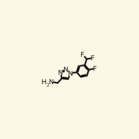 NCc1cn(-c2ccc(F)c(C(F)F)c2)nn1